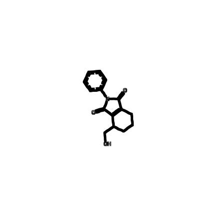 O=C1C2=C(C(=O)N1c1ccccc1)C(CO)CCC2